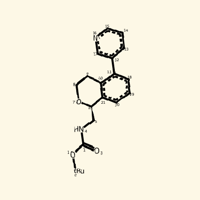 CC(C)(C)OC(=O)NC[C@H]1OCCc2c(-c3cccnc3)cccc21